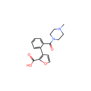 CN1CCN(C(=O)c2ccccc2-c2ccoc2C(=O)O)CC1